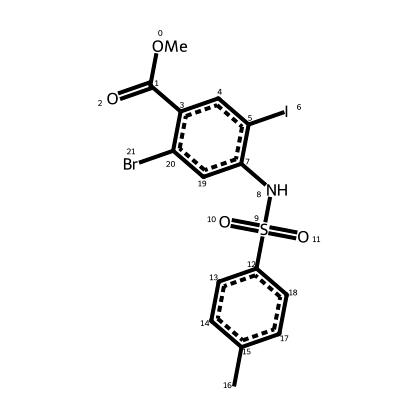 COC(=O)c1cc(I)c(NS(=O)(=O)c2ccc(C)cc2)cc1Br